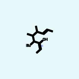 CC=CC(C)C(C)C(/C(O)=C\C)C(C)CC